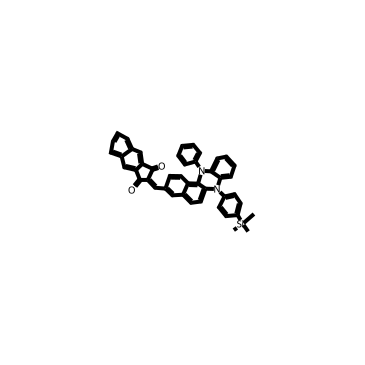 C[Si](C)(C)c1ccc(N2c3ccccc3N(c3ccccc3)c3c2ccc2cc(C=C4C(=O)c5cc6ccccc6cc5C4=O)ccc32)cc1